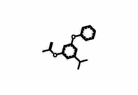 C=C(C)Oc1cc(Oc2ccccc2)cc(C(C)C)c1